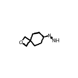 N=N[C]1CCC2(CC1)COC2